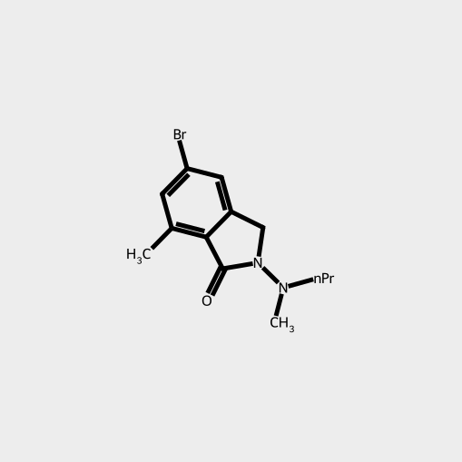 CCCN(C)N1Cc2cc(Br)cc(C)c2C1=O